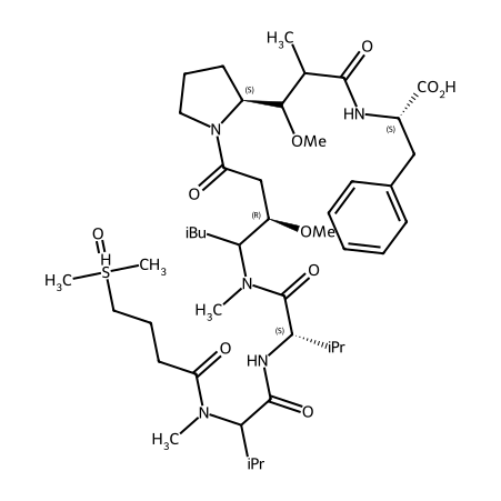 CCC(C)C([C@@H](CC(=O)N1CCC[C@H]1C(OC)C(C)C(=O)N[C@@H](Cc1ccccc1)C(=O)O)OC)N(C)C(=O)[C@@H](NC(=O)C(C(C)C)N(C)C(=O)CCC[SH](C)(C)=O)C(C)C